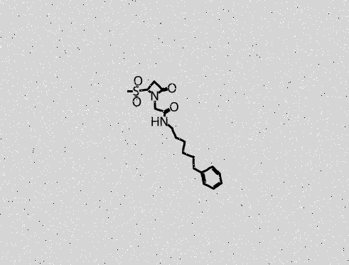 CS(=O)(=O)C1CC(=O)N1CC(=O)NCCCCCCc1ccccc1